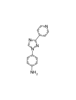 Nc1ccc(-n2cnc(-c3ccncc3)n2)cc1